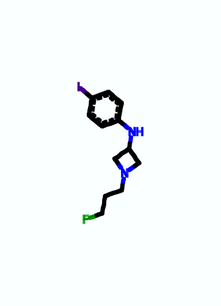 FCCCN1CC(Nc2ccc(I)cc2)C1